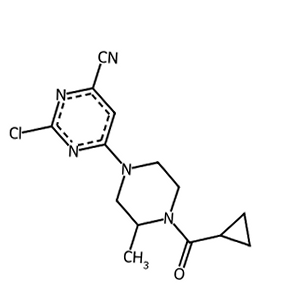 CC1CN(c2cc(C#N)nc(Cl)n2)CCN1C(=O)C1CC1